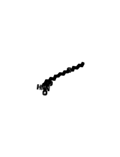 CCCCCCOCCCCCCCCc1cc2c[nH]c(=O)nc2o1